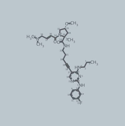 CCCNc1nc(Nc2cccc(F)c2)ncc1C#CCCCNC(=O)[C@]1(C)C[C@@H](OC)CN1C(=O)/C=C/CN(C)C